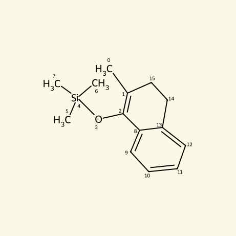 CC1=C(O[Si](C)(C)C)c2ccccc2CC1